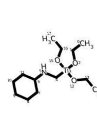 CC[O][Ti]([CH2]NC1CCCCC1)([O]CC)[O]CC